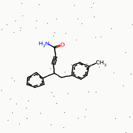 Cc1ccc(CC(C#CC(N)=O)c2ccccc2)cc1